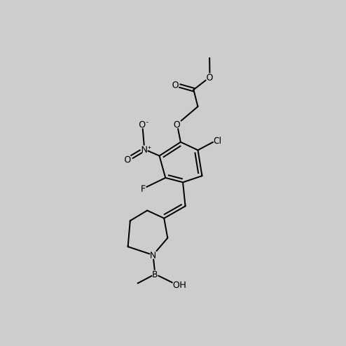 COC(=O)COc1c(Cl)cc(C=C2CCCN(B(C)O)C2)c(F)c1[N+](=O)[O-]